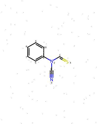 N#CN(C=S)c1ccccc1